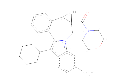 O=C(O)c1ccc2c(C3CCCCC3)c3n(c2c1)C[C@]1(C(=O)N2CCOCC2)B[C@@H]1c1ccccc1-3